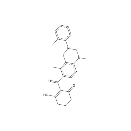 Cc1ccccc1N1Cc2c(ccc(C(=O)C3=C(O)CCCC3=O)c2C)N(C)C1